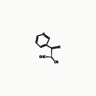 N#CC(C=O)C(=O)c1cccnc1